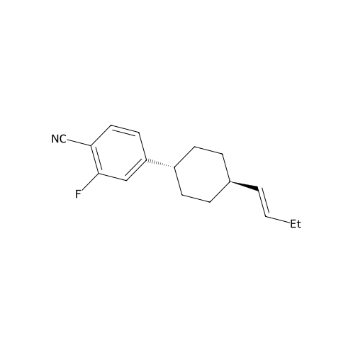 CCC=C[C@H]1CC[C@H](c2ccc(C#N)c(F)c2)CC1